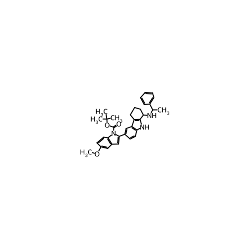 COc1ccc2c(c1)cc(-c1ccc3[nH]c4c(c3c1)CCCC4NC(C)c1ccccc1)n2C(=O)OC(C)(C)C